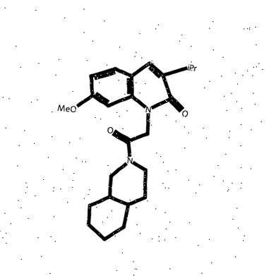 COc1ccc2cc(C(C)C)c(=O)n(CC(=O)N3CCC4CCCCC4C3)c2c1